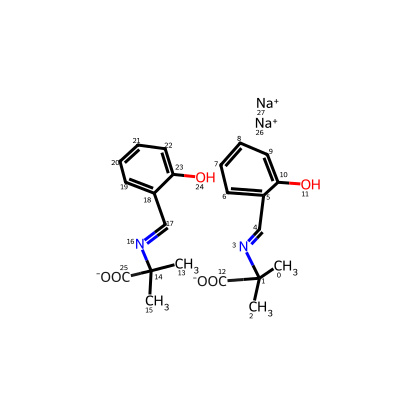 CC(C)(N=Cc1ccccc1O)C(=O)[O-].CC(C)(N=Cc1ccccc1O)C(=O)[O-].[Na+].[Na+]